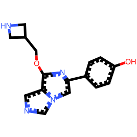 Oc1ccc(-c2cn3cncc3c(OCC3CNC3)n2)cc1